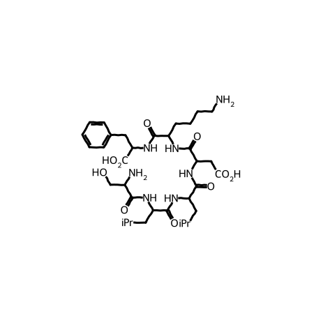 CC(C)CC(NC(=O)C(N)CO)C(=O)NC(CC(C)C)C(=O)NC(CC(=O)O)C(=O)NC(CCCCN)C(=O)NC(Cc1ccccc1)C(=O)O